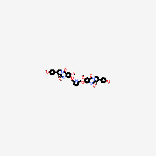 COC1=Nc2cc(OCc3cccc(COc4cc5c(cc4OC)C(=O)N4CC=C(c6ccc(OC)cc6)C[C@H]4C(OC)=N5)n3)c(OC)cc2C(=O)N2CC=C(c3ccc(OC)cc3)C[C@@H]12